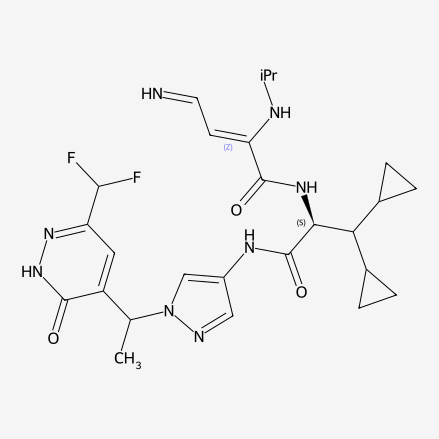 CC(C)N/C(=C\C=N)C(=O)N[C@H](C(=O)Nc1cnn(C(C)c2cc(C(F)F)n[nH]c2=O)c1)C(C1CC1)C1CC1